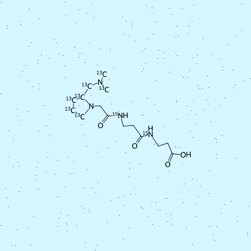 [13CH3]N([13CH3])[13CH2][13CH]1[13CH2][13CH2][13CH2]N1CC(=O)[15NH]CCC(=O)[15NH]CCC(=O)O